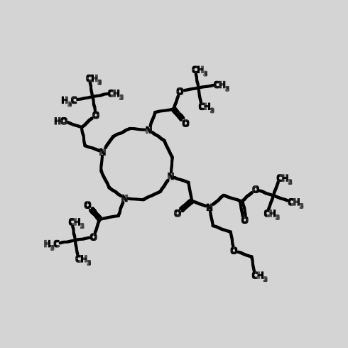 CCOCCN(CC(=O)OC(C)(C)C)C(=O)CN1CCN(CC(=O)OC(C)(C)C)CCN(CC(O)OC(C)(C)C)CCN(CC(=O)OC(C)(C)C)CC1